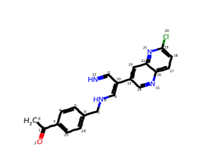 CC(=O)c1ccc(CN/C=C(\C=N)c2cnc3ccc(Cl)nc3c2)cc1